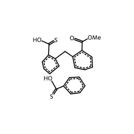 COC(=O)c1ccccc1Cc1ccccc1C(O)=S.OC(=S)c1ccccc1